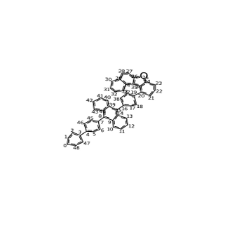 c1ccc(-c2ccc(-c3c4ccccc4c(-c4ccc(-c5cccc6oc7ccc8ccccc8c7c56)cc4)c4ccccc34)cc2)cc1